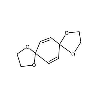 C1=CC2(C=CC13OCCO3)OCCO2